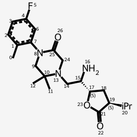 Cc1ccc(F)cc1N1CC(C)(C)N(CC(N)[C@@H]2C[C@@H](C(C)C)C(=O)O2)CC1=O